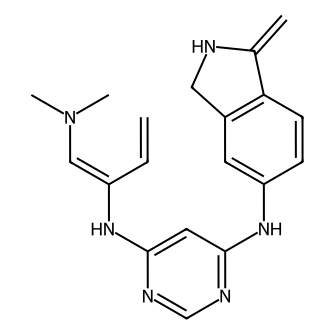 C=C/C(=C\N(C)C)Nc1cc(Nc2ccc3c(c2)CNC3=C)ncn1